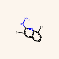 CCc1cc2cccc(CC)c2nc1NN